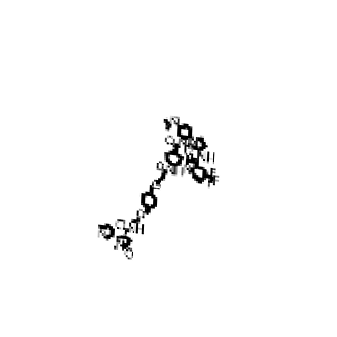 CC(C)N(C)[C@@H]1CC[C@H](N2CC[C@H](Nc3ncnc4ccc(C(F)(F)F)cc34)C2=O)[C@H](NC(=O)C2CCC(NC(=O)CCOCC3CCC(COCCNC(=O)[C@H]4CC(=O)N(C)[C@@H]4c4cccnc4)CC3)CC2)C1